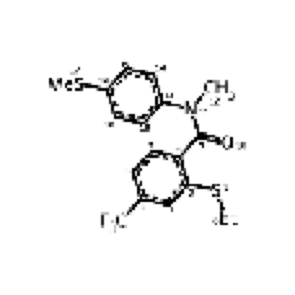 CCSc1cc(C(F)(F)F)ccc1C(=O)N(C)c1ccc(SC)cc1